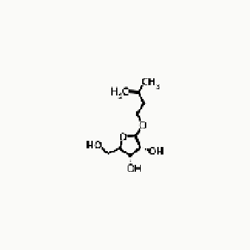 C=C(C)CCOC1O[C@H](CO)[C@@H](O)[C@H]1O